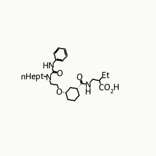 CCCCCCCN(CCO[C@H]1CCC[C@@H](C(=O)NCC(CC)C(=O)O)C1)C(=O)Nc1ccccc1